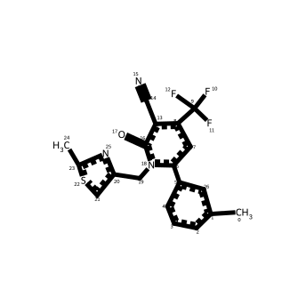 Cc1cccc(-c2cc(C(F)(F)F)c(C#N)c(=O)n2Cc2csc(C)n2)c1